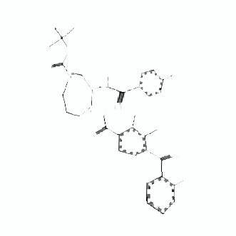 Cc1c(C(=O)c2ccccc2O)ccc(C(=O)O[C@@H]2CCCN(C(=O)OC(C)(C)C)C[C@H]2NC(=O)c2ccc(O)cc2)c1N